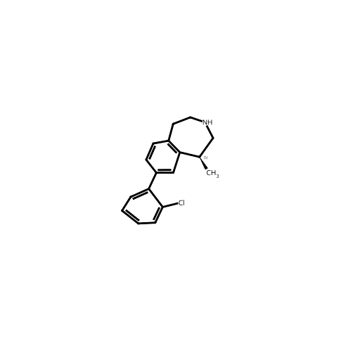 C[C@@H]1CNCCc2ccc(-c3ccccc3Cl)cc21